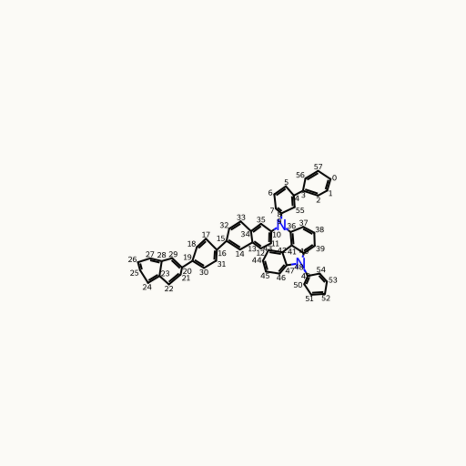 c1ccc(-c2cccc(N(c3ccc4cc(-c5ccc(-c6ccc7ccccc7c6)cc5)ccc4c3)c3cccc4c3c3ccccc3n4-c3ccccc3)c2)cc1